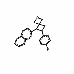 Fc1ccc(C2CC3(COC3)C2c2ccc3ccccc3c2)cc1